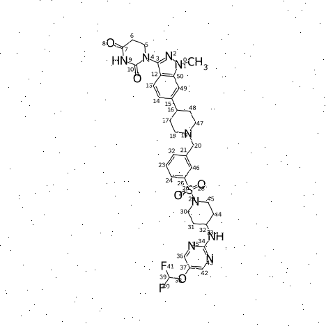 Cn1nc(N2CCC(=O)NC2=O)c2ccc(C3CCN(Cc4cccc(S(=O)(=O)N5CCC(Nc6ncc(OC(F)F)cn6)CC5)c4)CC3)cc21